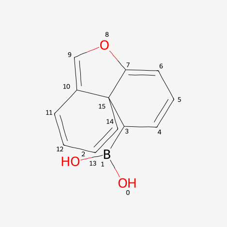 OB(O)C1C=CC=C2OC=C3C=CC=CC321